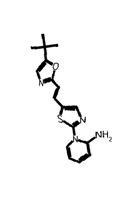 CC(C)(C)c1cnc(C=Cc2cnc(N3C=CC=CC3N)s2)o1